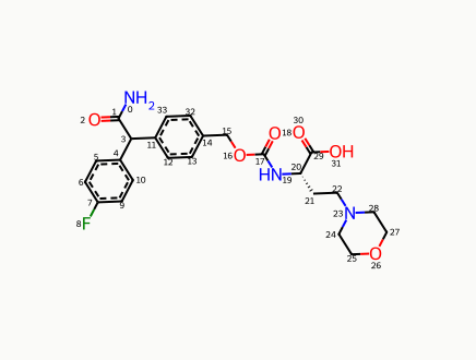 NC(=O)C(c1ccc(F)cc1)c1ccc(COC(=O)N[C@@H](CCN2CCOCC2)C(=O)O)cc1